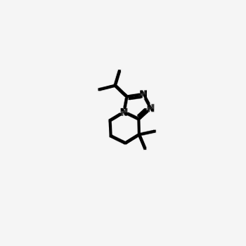 CC(C)c1nnc2n1CCCC2(C)C